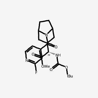 COC(=O)[C@@H](NC(=O)OC(C)(C)C)C1CC2CCC(C1)N2C(=O)c1ccnc(F)c1